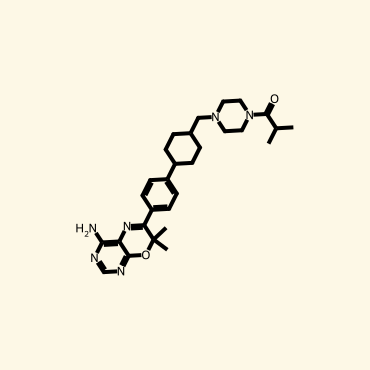 CC(C)C(=O)N1CCN(CC2CCC(c3ccc(C4=Nc5c(N)ncnc5OC4(C)C)cc3)CC2)CC1